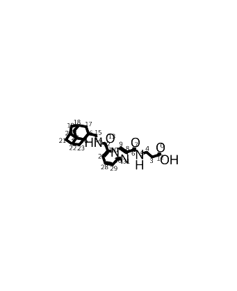 O=C(O)CCNC(=O)c1cn2c(C(=O)NCC34CC5CC6CC(C3)C6(C5)C4)cccc2n1